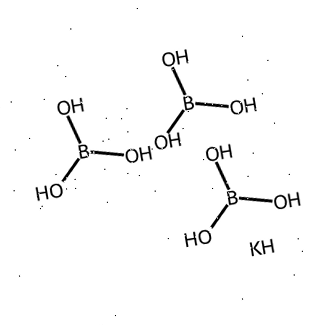 OB(O)O.OB(O)O.OB(O)O.[KH]